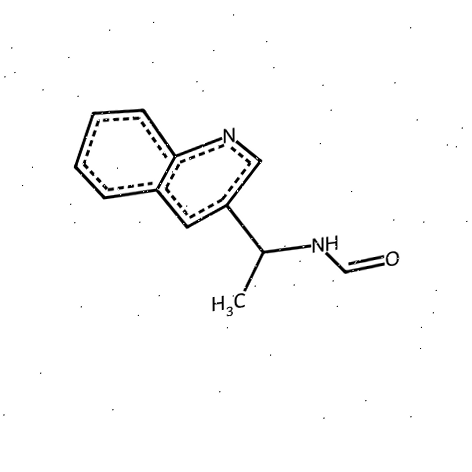 CC(NC=O)c1cnc2ccccc2c1